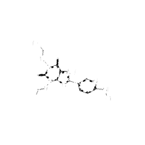 CCNn1c(=O)c2[nH]c(-c3ccc(NC)nc3)nc2n(NCC)c1=O